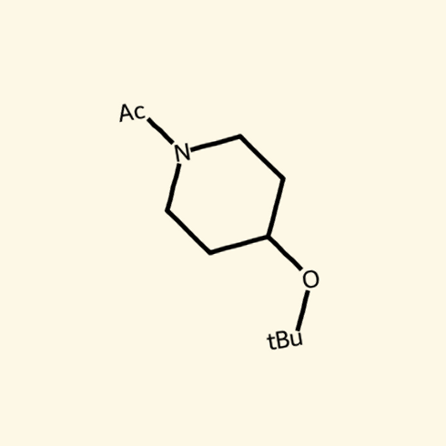 CC(=O)N1CCC(OC(C)(C)C)CC1